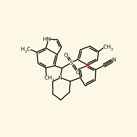 Cc1ccc(S(=O)(=O)C(c2c(C)cc(C)c3[nH]ccc23)N2CCCCC2c2ccc(C#N)cc2)cc1